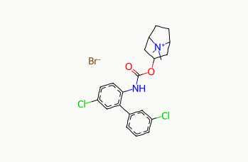 C[N+]1(C)C2CCC1CC(OC(=O)Nc1ccc(Cl)cc1-c1cccc(Cl)c1)C2.[Br-]